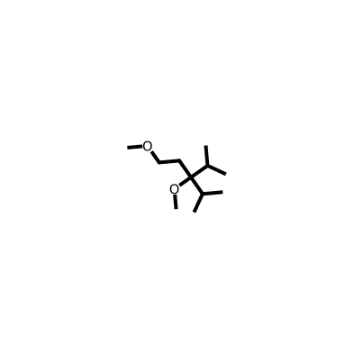 COCCC(OC)(C(C)C)C(C)C